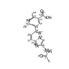 CC(=O)Nc1cn2nc(-c3cc(C(=O)O)c(C)nc3C)ccc2n1